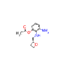 CC(=O)Oc1cccc(N)c1NC[C@@H]1CCO1